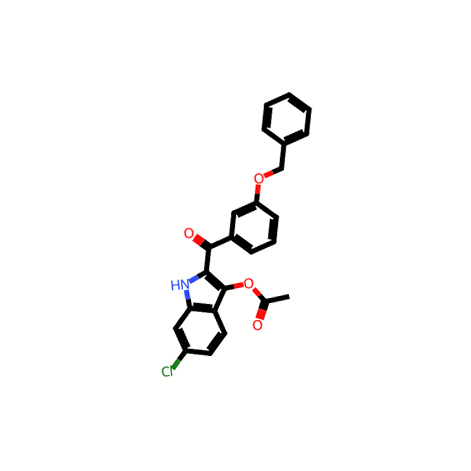 CC(=O)Oc1c(C(=O)c2cccc(OCc3ccccc3)c2)[nH]c2cc(Cl)ccc12